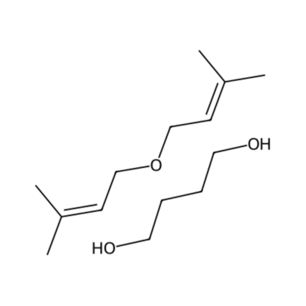 CC(C)=CCOCC=C(C)C.OCCCCO